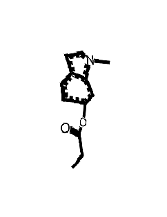 CCC(=O)Oc1ccc2ccn(C)c2c1